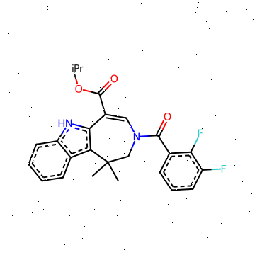 CC(C)OC(=O)C1=CN(C(=O)c2cccc(F)c2F)CC(C)(C)c2c1[nH]c1ccccc21